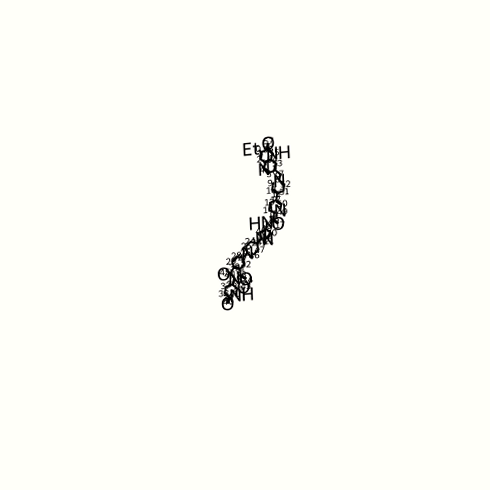 CCc1cc2ncc(CN3CC=C(c4ccc(C(=O)Nc5cnn(C6CCN(c7ccc8c(c7)C(=O)N(C7CCC(=O)NC7=O)C8=O)CC6)c5)nc4)CC3)cc2[nH]c1=O